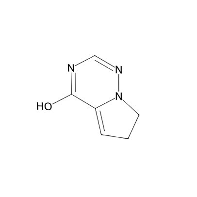 OC1=NC=NN2CCC=C12